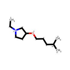 CCN1CCC(OCCCC(C)C)C1